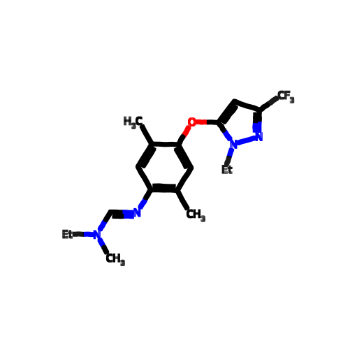 CCN(C)C=Nc1cc(C)c(Oc2cc(C(F)(F)F)nn2CC)cc1C